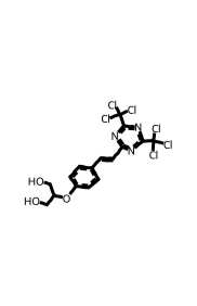 OCC(CO)Oc1ccc(C=Cc2nc(C(Cl)(Cl)Cl)nc(C(Cl)(Cl)Cl)n2)cc1